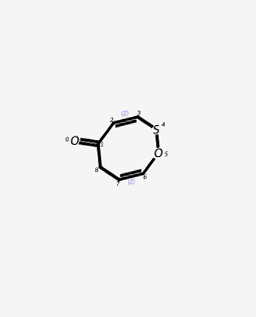 O=C1/C=C\SO/C=C\C1